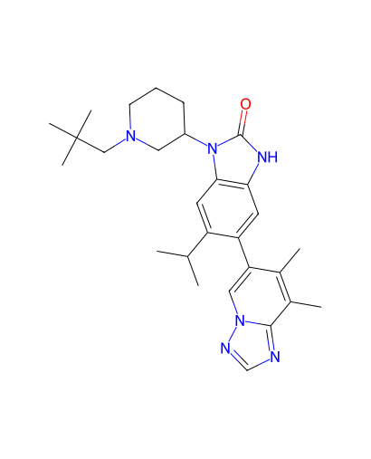 Cc1c(-c2cc3[nH]c(=O)n(C4CCCN(CC(C)(C)C)C4)c3cc2C(C)C)cn2ncnc2c1C